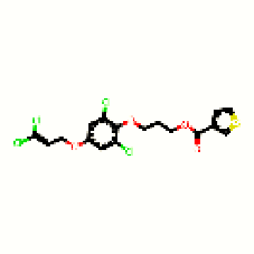 O=C(OCCCOc1c(Cl)cc(OCC=C(Cl)Cl)cc1Cl)c1ccsc1